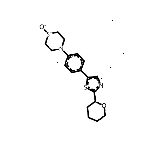 [O-][S+]1CCN(c2ccc(-c3cnc(C4CCCCO4)s3)cc2)CC1